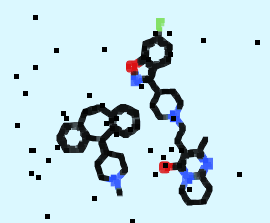 CN1CCC(=C2c3ccccc3C=Cc3ccccc32)CC1.Cc1nc2n(c(=O)c1CCN1CCC(c3noc4cc(F)ccc34)CC1)CCCC2